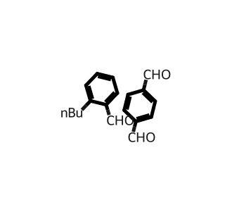 CCCCc1ccccc1C=O.O=Cc1ccc(C=O)cc1